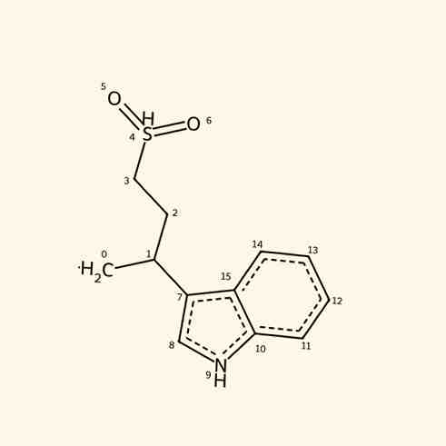 [CH2]C(CC[SH](=O)=O)c1c[nH]c2ccccc12